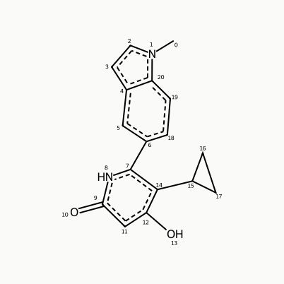 Cn1ccc2cc(-c3[nH]c(=O)cc(O)c3C3CC3)ccc21